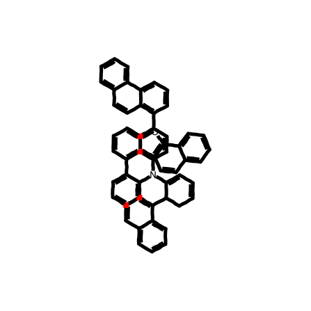 C1=CCC(c2cccc3ccccc23)C(N(c2ccc(-c3cccc4c3ccc3ccccc34)cc2)c2ccccc2-c2cccc3oc4c5ccccc5ccc4c23)=C1